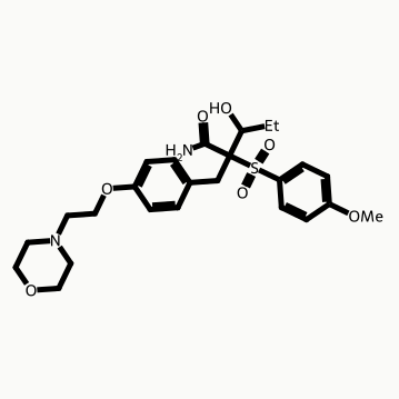 CCC(O)C(Cc1ccc(OCCN2CCOCC2)cc1)(C(N)=O)S(=O)(=O)c1ccc(OC)cc1